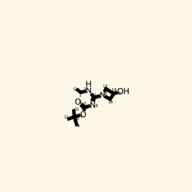 CCNC(=NC(=O)OC(C)(C)C)N1CC(O)C1